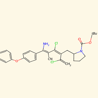 C=C(Cl)/C(CC1CCCN1C(=O)OC(C)(C)C)=C(Cl)\C(C#N)=C(/N)c1ccc(Oc2ccccc2)cc1